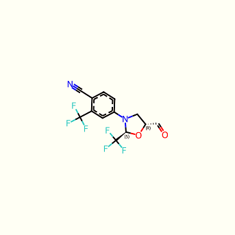 N#Cc1ccc(N2C[C@H](C=O)O[C@H]2C(F)(F)F)cc1C(F)(F)F